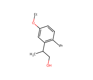 CCOc1ccc(C(C)C)c([C](C)CO)c1